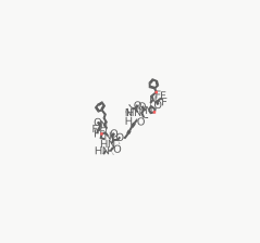 CN[C@@H](C)C(=O)NC(C(=O)N1CCC[C@H]1CN(CCCc1ccccc1)C(=O)C(F)(F)F)[C@@H](C)OCC#CC#CCO[C@H](C)C(NC(=O)[C@H](C)NC)C(=O)N1CCC[C@H]1CN(CCc1ccccc1)C(=O)C(F)(F)F